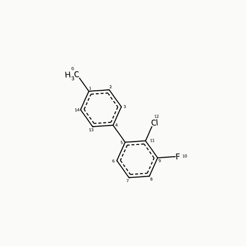 Cc1ccc(-c2cccc(F)c2Cl)cc1